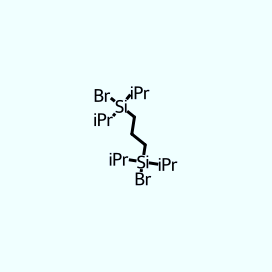 CC(C)[Si](Br)(CCC[Si](Br)(C(C)C)C(C)C)C(C)C